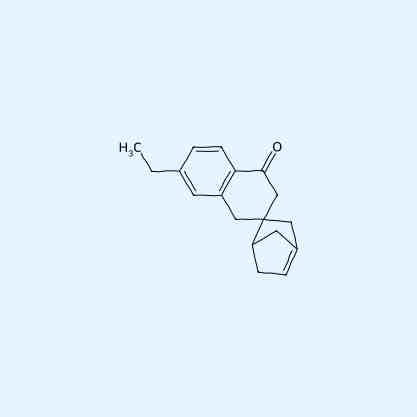 CCc1ccc2c(c1)CC1(CC2=O)CC2=CCC1C2